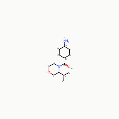 CC(C)C1COCCN1C(=O)[C@H]1CC[C@H](N)CC1